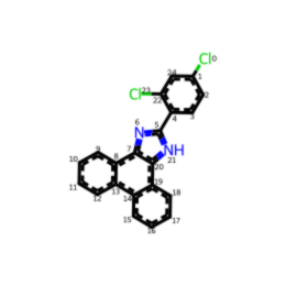 Clc1ccc(-c2nc3c4ccccc4c4ccccc4c3[nH]2)c(Cl)c1